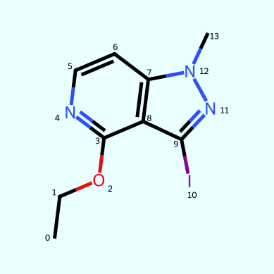 CCOc1nccc2c1c(I)nn2C